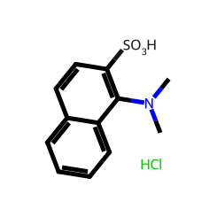 CN(C)c1c(S(=O)(=O)O)ccc2ccccc12.Cl